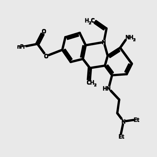 C=CN1c2ccc(OC(=O)CCC)cc2C(=C)c2c(NCCN(CC)CC)ccc(N)c21